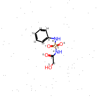 O=C(CO)NS(=O)(=O)Nc1ccccc1